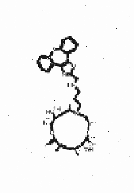 C/C1=C/[C@H](C)[C@@H](O)[C@](C)(O)C[C@@H](C)CN(CCCNCc2nc3c(o2)-c2ccccc2Sc2ccccc2-3)[C@H](C)[C@@H](O)[C@](C)(O)[C@@H](I)OC1=O